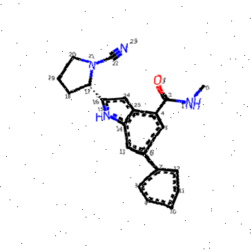 CNC(=O)c1cc(-c2ccccc2)cc2[nH]c([C@@H]3CCCN3C#N)cc12